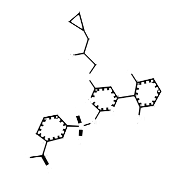 Cc1cccc(C)c1-c1cc(OCC(N)CC2CC2)nc(NS(=O)(=O)c2cccc(C(=O)O)c2)n1